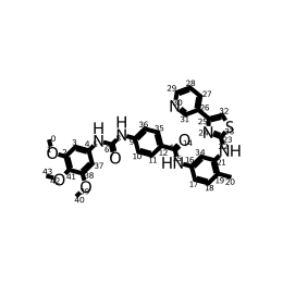 COc1cc(NC(=O)Nc2ccc(C(=O)Nc3ccc(C)c(Nc4nc(-c5cccnc5)cs4)c3)cc2)cc(OC)c1OC